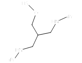 CC(C)NCC(CNC(C)C)COS